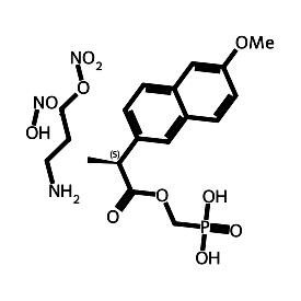 COc1ccc2cc([C@H](C)C(=O)OCP(=O)(O)O)ccc2c1.NCCCO[N+](=O)[O-].O=[N+]([O-])O